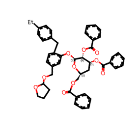 CCc1ccc(Cc2ccc(COC3CCCO3)cc2O[C@@H]2O[C@H](COC(=O)c3ccccc3)C[C@H](OC(=O)c3ccccc3)[C@H]2OC(=O)c2ccccc2)cc1